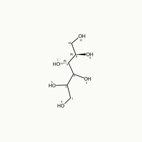 OCC(O)C(O)[C@H](O)[C@H](O)CO